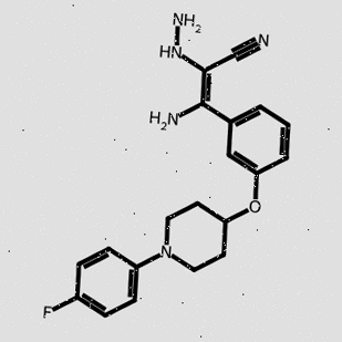 N#C/C(NN)=C(/N)c1cccc(OC2CCN(c3ccc(F)cc3)CC2)c1